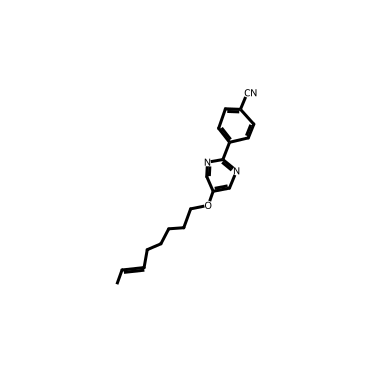 CC=CCCCCCOc1cnc(-c2ccc(C#N)cc2)nc1